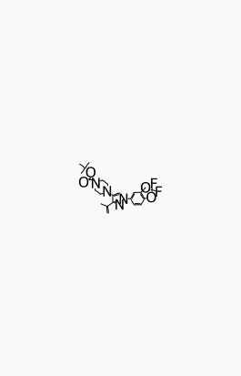 C=C(C)c1nn(-c2ccc3c(c2)OC(F)(F)O3)cc1N1CCN(C(=O)OC(C)(C)C)CC1